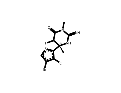 CN1C(=N)N[C@](C)(c2scc(Br)c2Cl)C(F)C1=O